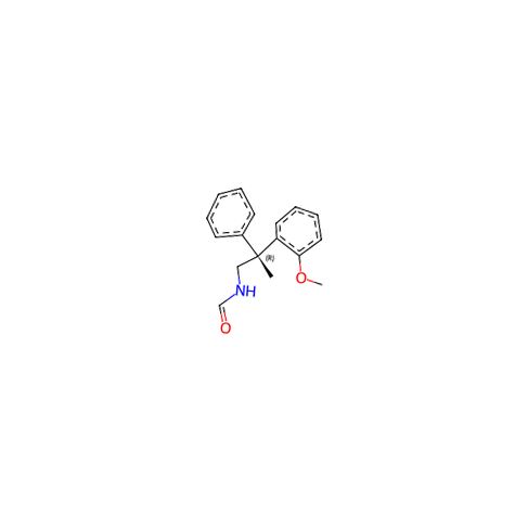 COc1ccccc1[C@](C)(CNC=O)c1ccccc1